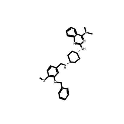 COc1ccc(CN[C@H]2CC[C@@H](Nc3nc(N(C)C)c4ccccc4n3)CC2)cc1OCc1ccccc1